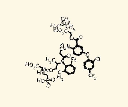 CCOC(=O)COC(=O)c1cc(Oc2ccc(C(F)(F)F)cc2Cl)ccc1[N+](=O)[O-].CCc1cccc(C)c1N(C(=O)CCl)C(C)COC.C[S+](C)C.O=C(O)CNCP(=O)([O-])O